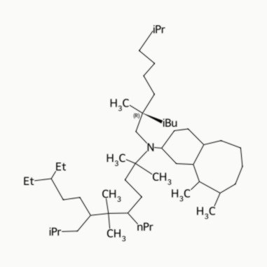 CCCC(CCC(C)(C)N(C[C@](C)(CCCCC(C)C)C(C)CC)C1CCC2CCCCC(C)C(C)C2C1)C(C)(C)C(CCC(CC)CC)CC(C)C